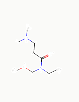 CC(C)CN(COC(C)C)C(=O)CCN(C)C(C)C